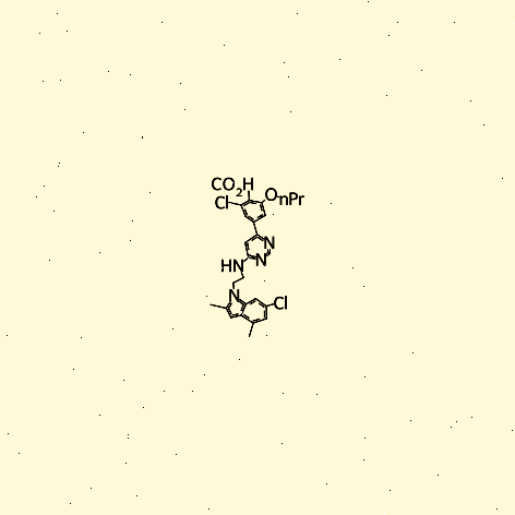 CCCOc1cc(-c2cc(NCCn3c(C)cc4c(C)cc(Cl)cc43)ncn2)cc(Cl)c1C(=O)O